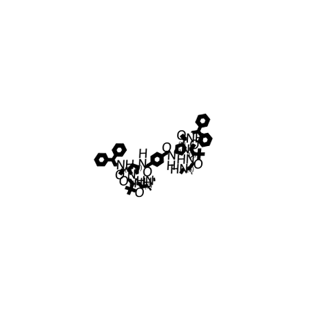 CN[C@@H](C)C(=O)N[C@H](C(=O)N1C[C@@H](NC(=O)c2ccc(C(=O)N[C@H]3C[C@@H](C(=O)NCC(c4ccccc4)c4ccccc4)N(C(=O)[C@@H](NC(=O)[C@H](C)NC)C(C)(C)C)C3)cc2)C[C@H]1C(=O)NCC(c1ccccc1)c1ccccc1)C(C)(C)C